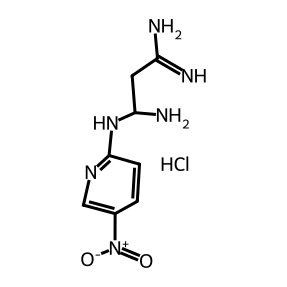 Cl.N=C(N)CC(N)Nc1ccc([N+](=O)[O-])cn1